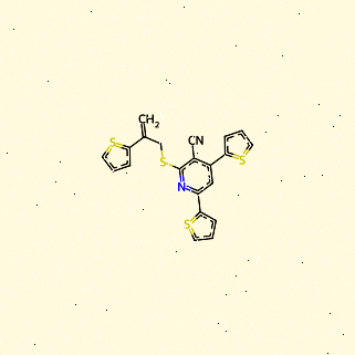 C=C(CSc1nc(-c2cccs2)cc(-c2cccs2)c1C#N)c1cccs1